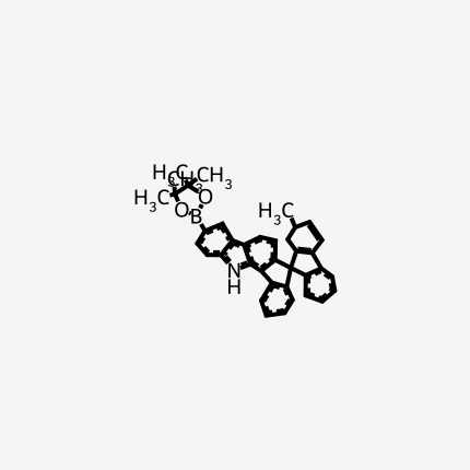 CC1C=CC2=C(C1)C1(c3ccccc32)c2ccccc2-c2c1ccc1c2[nH]c2ccc(B3OC(C)(C)C(C)(C)O3)cc21